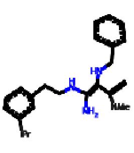 C=C(NC)/C(NCc1ccccc1)=C(\N)NCCc1cccc(C(C)C)c1